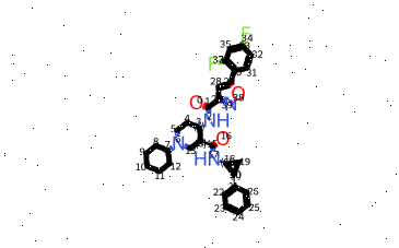 O=C(N[C@H]1CCN(C2CCCCC2)C[C@@H]1C(=O)N[C@H]1C[C@@H]1c1ccccc1)c1cc(-c2ccc(F)cc2F)on1